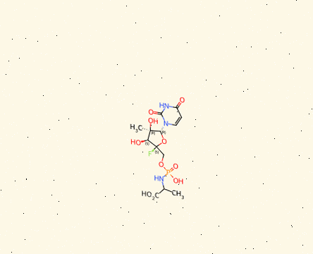 CC(NP(=O)(O)OC[C@@]1(F)O[C@@H](n2ccc(=O)[nH]c2=O)[C@](C)(O)[C@@H]1O)C(=O)O